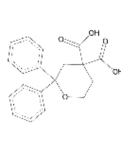 O=C(O)C1(C(=O)O)CCOC(c2ccccc2)(c2ccccc2)C1